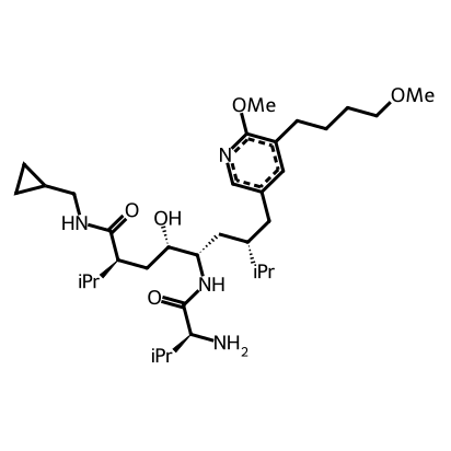 COCCCCc1cc(C[C@@H](C[C@H](NC(=O)[C@@H](N)C(C)C)[C@@H](O)C[C@H](C(=O)NCC2CC2)C(C)C)C(C)C)cnc1OC